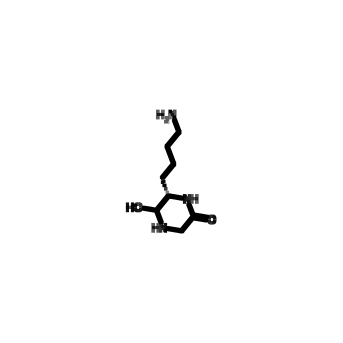 NCCCC[C@@H]1NC(=O)CNC1O